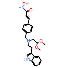 COC(CN(CCc1c[nH]c2ccccc12)Cc1ccc(/C=C/C(=O)NO)cc1)OC